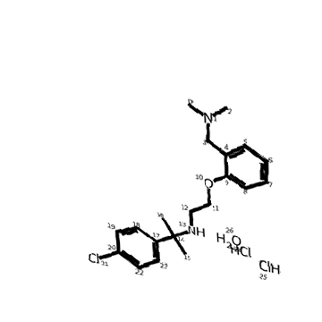 CN(C)Cc1ccccc1OCCNC(C)(C)c1ccc(Cl)cc1.Cl.Cl.O